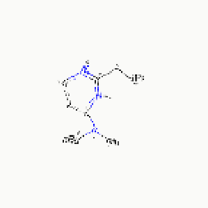 CCCCN(CCCC)c1ccnc(CC(C)C)n1